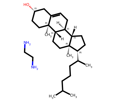 CC(C)CCCC(C)[C@H]1CC[C@H]2[C@@H]3CC=C4C[C@@H](O)CC[C@]4(C)[C@H]3CC[C@]12C.NCCN